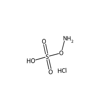 Cl.NOS(=O)(=O)O